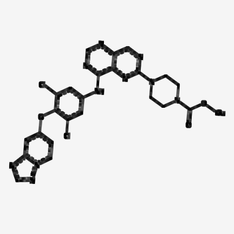 CC(C)(C)OC(=O)N1CCN(c2ncc3ncnc(Nc4cc(Cl)c(Oc5ccn6ncnc6c5)c(Cl)c4)c3n2)CC1